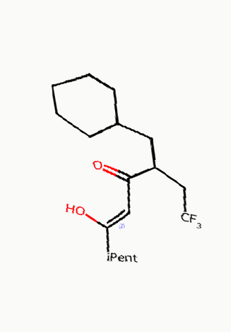 CCCC(C)/C(O)=C/C(=O)C(CC1CCCCC1)CC(F)(F)F